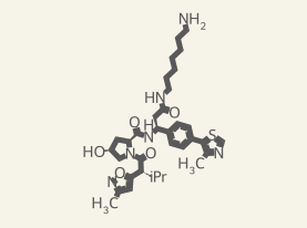 Cc1cc([C@H](C(=O)N2C[C@H](O)C[C@H]2C(=O)N[C@@H](CC(=O)NCCCCCCCN)c2ccc(-c3scnc3C)cc2)C(C)C)on1